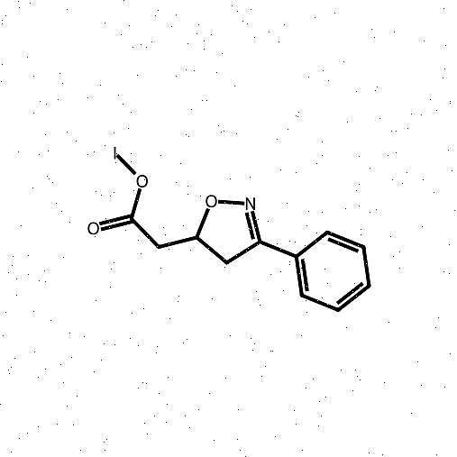 O=C(CC1CC(c2ccccc2)=NO1)OI